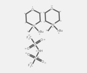 CCCC[N+]1(C)CCOCC1.CCCC[N+]1(C)CCOCC1.O=S(=O)(NS(=O)(=O)C(F)(F)F)C(F)(F)F